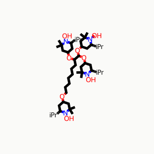 CC(C)C1CC(OCCCCCCCC(OC2CC(C(C)C)N(O)C(C)(C)C2)C(OC2CC(C(C)C)N(O)C(C)(C)C2)OC2CC(C(C)C)N(O)C(C)(C)C2)CC(C)(C)N1O